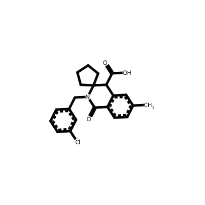 Cc1ccc2c(c1)C(C(=O)O)C1(CCCC1)N(Cc1cccc(Cl)c1)C2=O